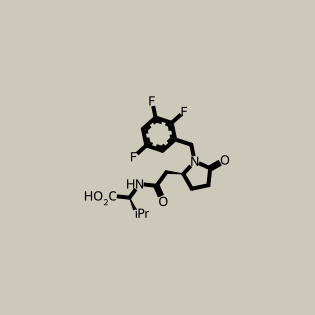 CC(C)[C@H](NC(=O)C[C@@H]1CCC(=O)N1Cc1cc(F)cc(F)c1F)C(=O)O